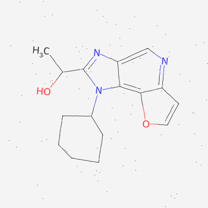 CC(O)c1nc2cnc3ccoc3c2n1C1CCCCC1